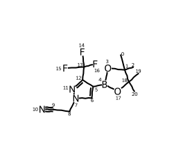 CC1(C)OB(c2cn(CC#N)nc2C(F)(F)F)OC1(C)C